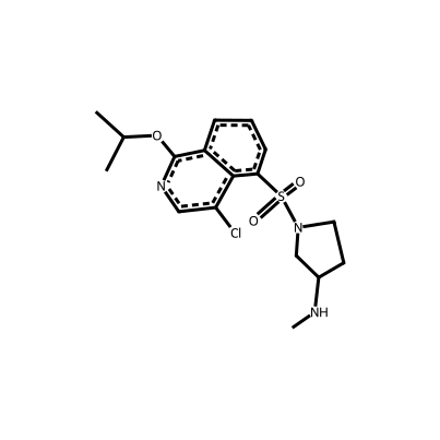 CNC1CCN(S(=O)(=O)c2cccc3c(OC(C)C)ncc(Cl)c23)C1